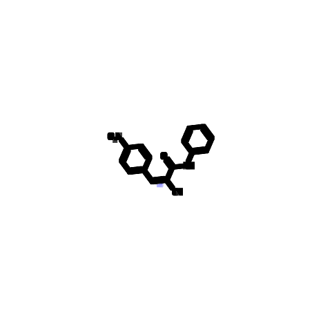 N#C/C(=C/c1ccc([N+](=O)[O-])cc1)C(=O)Nc1ccccc1